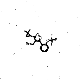 CC1(C)CC1c1onc(-c2ccccc2OC(F)(F)F)c1CBr